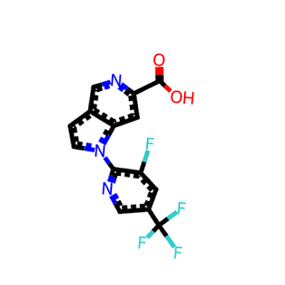 O=C(O)c1cc2c(ccn2-c2ncc(C(F)(F)F)cc2F)cn1